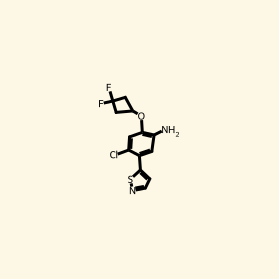 Nc1cc(-c2ccns2)c(Cl)cc1OC1CC(F)(F)C1